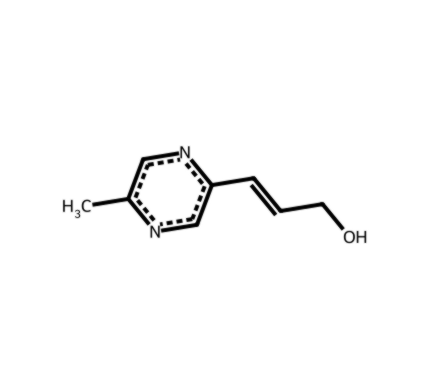 Cc1cnc(/C=C/CO)cn1